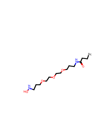 CC(=O)CCC(=O)NCCCOCCOCCOCCCNO